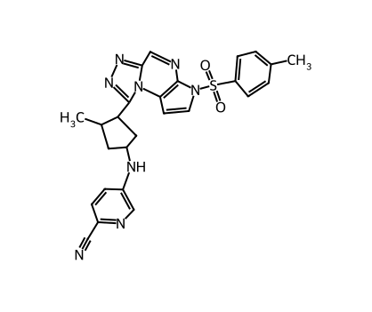 Cc1ccc(S(=O)(=O)n2ccc3c2ncc2nnc(C4CC(Nc5ccc(C#N)nc5)CC4C)n23)cc1